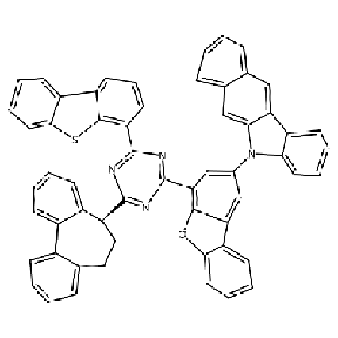 c1ccc2c(c1)CC[C@H](c1nc(-c3cc(-n4c5ccccc5c5cc6ccccc6cc54)cc4c3oc3ccccc34)nc(-c3cccc4c3sc3ccccc34)n1)c1ccccc1-2